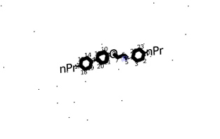 CCC[C@H]1CC[C@H](/C=C/COc2ccc([C@H]3CC[C@H](CCC)CC3)cc2)CC1